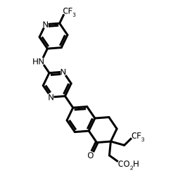 O=C(O)CC1(CC(F)(F)F)CCc2cc(-c3cnc(Nc4ccc(C(F)(F)F)nc4)cn3)ccc2C1=O